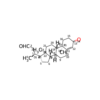 C[C@@H](CC=O)[C@H]1CC[C@H]2[C@@H]3CCC4=CC(=O)CC[C@]4(C)[C@H]3CC[C@]12C